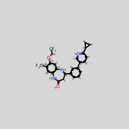 O=C1CC(c2cccc(-c3ccc(C4CC4)nc3)c2)=Nc2cc(OCC(F)(F)F)c(C(F)(F)F)cc2N1